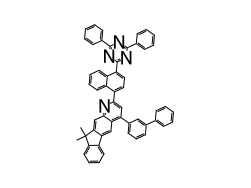 CC1(C)c2ccccc2-c2cc3c(-c4cccc(-c5ccccc5)c4)cc(-c4ccc(-c5nc(-c6ccccc6)nc(-c6ccccc6)n5)c5ccccc45)nc3cc21